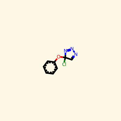 ClC1(Oc2ccccc2)C=NN=N1